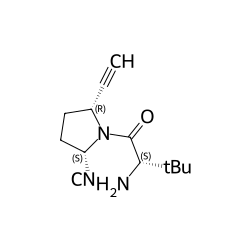 C#C[C@H]1CC[C@@H](C#N)N1C(=O)[C@@H](N)C(C)(C)C